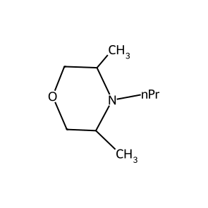 CCCN1C(C)COCC1C